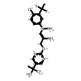 CC(F)(F)c1cc(N(N)/C=C(\N)COc2ncc(C(C)(O)C(F)(F)F)cn2)ccc1Cl